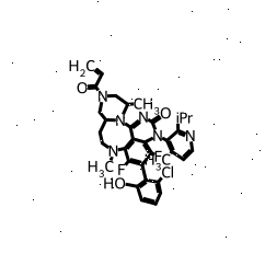 C=CC(=O)N1CC(C)N2c3nc(=O)n(-c4c(C)ccnc4C(C)C)c4c(F)c(-c5c(O)cccc5Cl)c(F)c(c34)N(C)CCC2C1